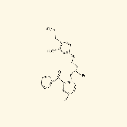 CCCC(CCSc1ccc(CCC(=O)O)c(C)c1)Oc1ccc(CC)cc1C(=O)c1ccccc1